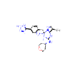 CC(C)c1cnn2c1N=C(NC1CCOCC1)NC2(N)Cc1ccc(-c2nn[nH]n2)cc1